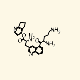 NCCC[C@@H](N)C(=O)c1cccc2ncc(C[C@H](N)C(=O)Oc3ccnc4c3CCC4)cc12